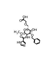 CO[C@@H]1O[C@H](COCC(=O)O)[C@@H](O)[C@H](OCc2ccccc2)C1NC(=O)c1cnc[nH]1